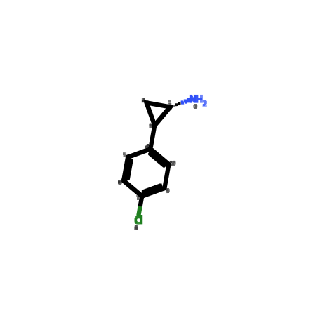 N[C@H]1CC1c1ccc(Cl)cc1